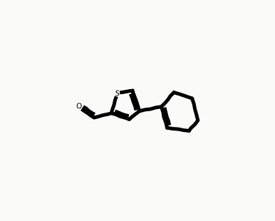 O=Cc1cc(C2=CCCCC2)cs1